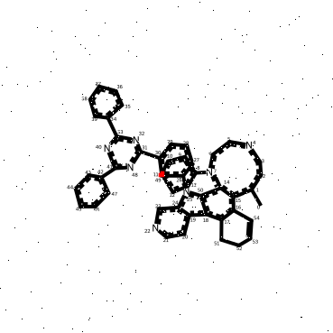 Cc1ccnccn(-c2ccccc2)c2c1c1c(c3c4ccncc4n(-c4cccc(-c5nc(-c6ccccc6)nc(-c6ccccc6)n5)c4)c32)CCC=C1